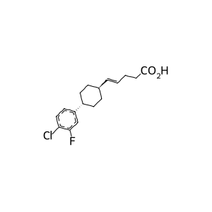 O=C(O)CCC=C[C@H]1CC[C@H](c2ccc(Cl)c(F)c2)CC1